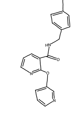 Cc1ccc(CNC(=O)c2cccnc2Oc2cccnc2)cc1